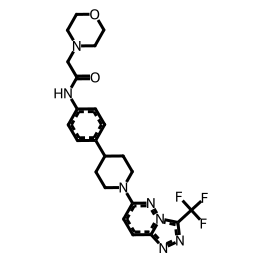 O=C(CN1CCOCC1)Nc1ccc(C2CCN(c3ccc4nnc(C(F)(F)F)n4n3)CC2)cc1